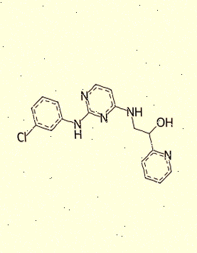 OC(CNc1ccnc(Nc2cccc(Cl)c2)n1)c1ccccn1